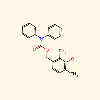 Cc1ccc(COC(=O)N(c2ccccc2)c2ccccc2)c(C)c1[O]